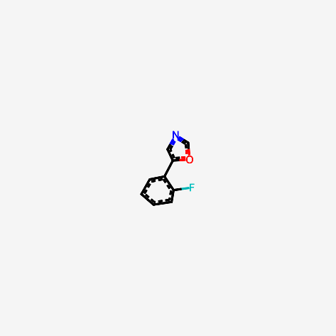 Fc1ccccc1-c1cnco1